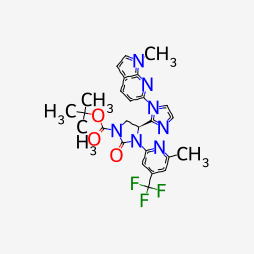 Cc1cc(C(F)(F)F)cc(N2C(=O)N(C(=O)OC(C)(C)C)C[C@H]2c2nccn2-c2ccc3ccn(C)c3n2)n1